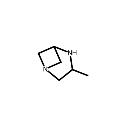 CC1CN2CC(C2)N1